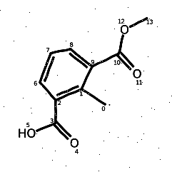 [CH2]c1c(C(=O)O)cccc1C(=O)OC